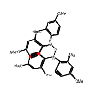 COc1ccc([SiH](O[SiH](c2ccc(OC)cc2C(C)(C)C)c2ccc(OC)cc2C(C)(C)C)c2ccc(OC)cc2C(C)(C)C)c(C(C)(C)C)c1